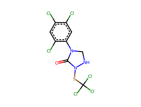 O=C1N(SC(Cl)(Cl)Cl)NCN1c1cc(Cl)c(Cl)cc1Cl